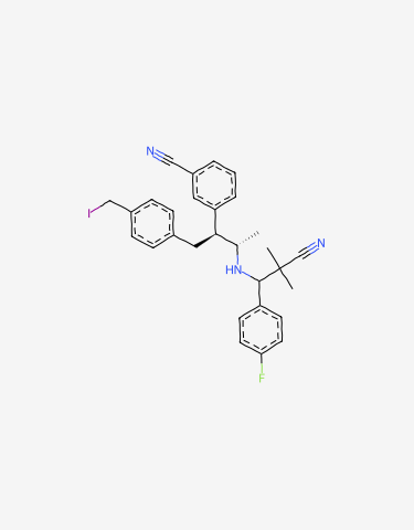 C[C@H](NC(c1ccc(F)cc1)C(C)(C)C#N)[C@@H](Cc1ccc(CI)cc1)c1cccc(C#N)c1